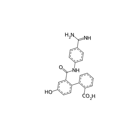 N=C(N)c1ccc(NC(=O)c2cc(O)ccc2-c2ccccc2C(=O)O)cc1